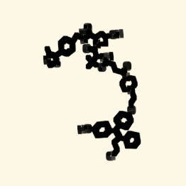 Cc1ncsc1-c1ccc(CNC(=O)C2CC(O)CN2C(=O)C(NC(=O)CCC(=O)N2CCN(CCOc3ccc(C(=C(CCCl)c4ccccc4)c4ccc(O)cc4)cc3)CC2)C(C)(C)C)cc1